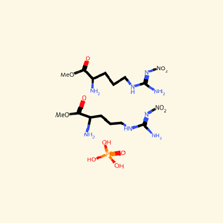 COC(=O)C(N)CCCNC(N)=N[N+](=O)[O-].COC(=O)C(N)CCCNC(N)=N[N+](=O)[O-].O=P(O)(O)O